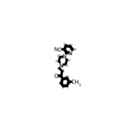 Cc1cccc(C(=O)CCN2CCN(c3ncccc3C#N)CC2)c1